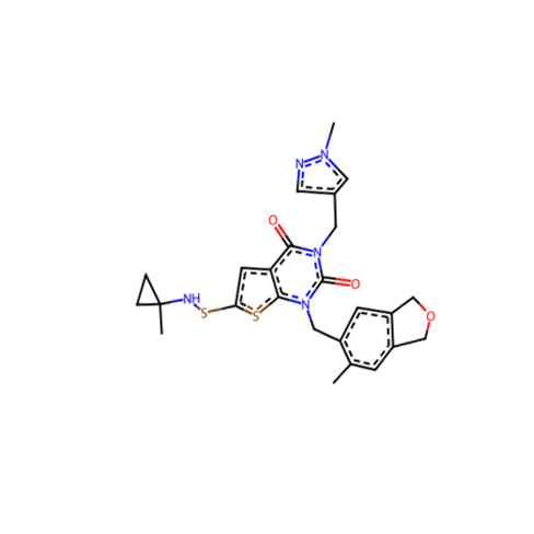 Cc1cc2c(cc1Cn1c(=O)n(Cc3cnn(C)c3)c(=O)c3cc(SNC4(C)CC4)sc31)COC2